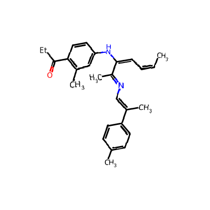 C\C=C/C=C(Nc1ccc(C(=O)CC)c(C)c1)\C(C)=N\C=C(/C)c1ccc(C)cc1